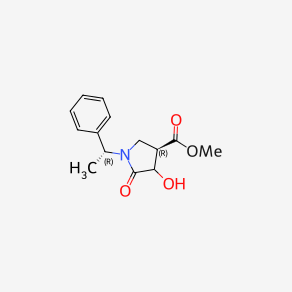 COC(=O)[C@@H]1CN([C@H](C)c2ccccc2)C(=O)C1O